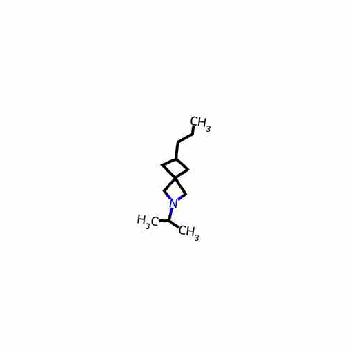 CCCC1CC2(C1)CN(C(C)C)C2